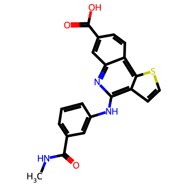 CNC(=O)c1cccc(Nc2nc3cc(C(=O)O)ccc3c3sccc23)c1